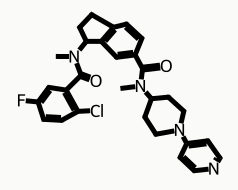 CN(C(=O)c1ccc2c(c1)C(N(C)C(=O)c1cc(F)ccc1Cl)CC2)C1CCN(c2ccncc2)CC1